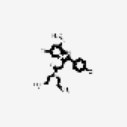 CCCN(CCC)C(=O)Cc1c(-c2ccc(Cl)cc2)nc2c(SC)cc(Cl)cn12